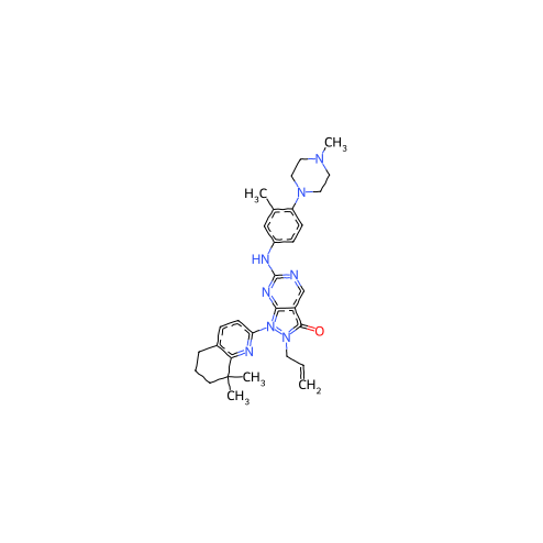 C=CCn1c(=O)c2cnc(Nc3ccc(N4CCN(C)CC4)c(C)c3)nc2n1-c1ccc2c(n1)C(C)(C)CCC2